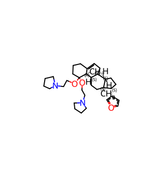 C[C@]12CC[C@H]3[C@@H](CC=C4CCCC(OCCN5CCCC5)(OCCN5CCCC5)[C@@]43C)[C@@H]1CC[C@@H]2c1ccoc1